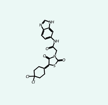 O=C(CN1C(=O)SC(=C2CCC(Cl)(Cl)CC2)C1=O)Nc1ccc2nc[nH]c2c1